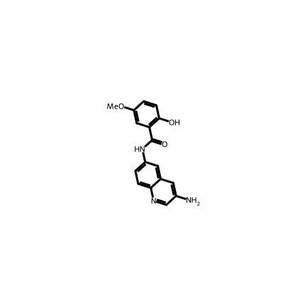 COc1ccc(O)c(C(=O)Nc2ccc3ncc(N)cc3c2)c1